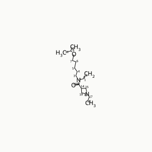 C=CN(CCCCCOC(C)C)C(=O)C1CN(CC)C1